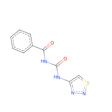 O=C(NC(=O)c1ccccc1)Nc1csnn1